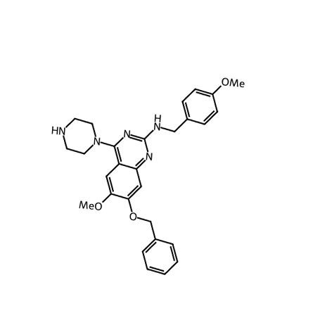 COc1ccc(CNc2nc(N3CCNCC3)c3cc(OC)c(OCc4ccccc4)cc3n2)cc1